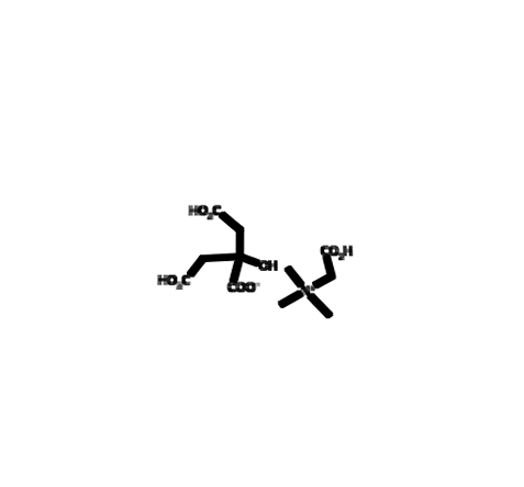 C[N+](C)(C)CC(=O)O.O=C(O)CC(O)(CC(=O)O)C(=O)[O-]